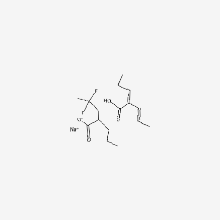 CC=CC(=CCC)C(=O)O.CCCC(CC(C)(F)F)C(=O)[O-].[Na+]